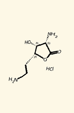 Cl.NCC[C@H]1OC(=O)[C@@H](N)[C@H]1O